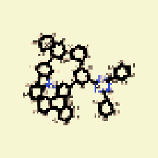 c1ccc(-c2cc(-c3cc(-n4c5ccccc5c5ccc(-c6cccc7ccccc67)cc54)c4c5ccccc5c5ccccc5c4c3)cc(-c3nc(-c4ccccc4)nc(-c4ccccc4)n3)c2)cc1